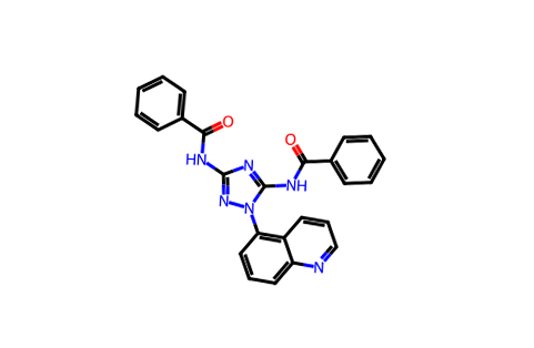 O=C(Nc1nc(NC(=O)c2ccccc2)n(-c2cccc3ncccc23)n1)c1ccccc1